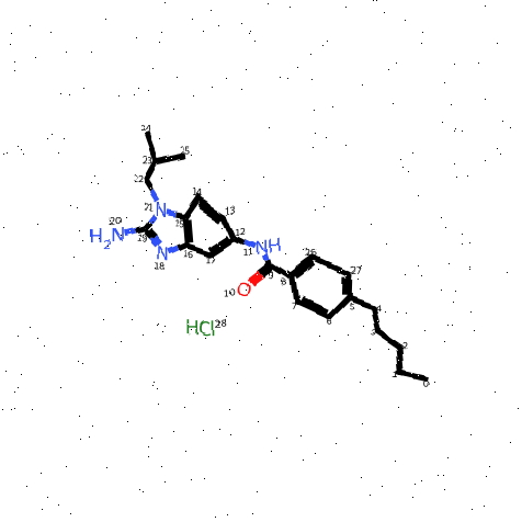 CCCCCc1ccc(C(=O)Nc2ccc3c(c2)nc(N)n3CC(C)C)cc1.Cl